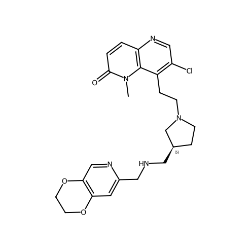 Cn1c(=O)ccc2ncc(Cl)c(CCN3CC[C@@H](CNCc4cc5c(cn4)OCCO5)C3)c21